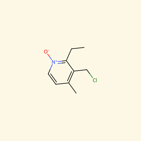 CCc1c(CCl)c(C)cc[n+]1[O-]